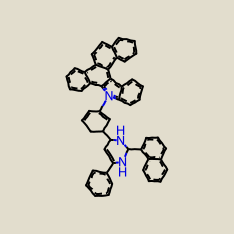 C1=CC(n2c3ccccc3c3c4c5ccccc5ccc4c4ccccc4c32)=CC(C2C=C(c3ccccc3)NC(c3cccc4ccccc34)N2)C1